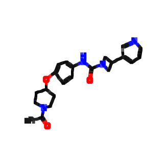 CCCC(=O)N1CCC(Oc2ccc(NC(=O)N3CC(c4cccnc4)C3)cc2)CC1